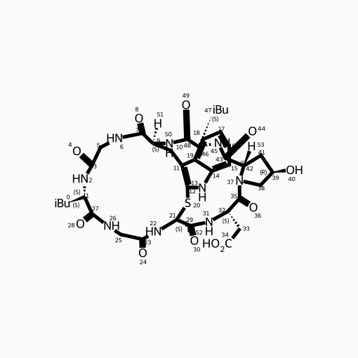 CC[C@H](C)[C@@H]1NC(=O)CNC(=O)[C@@H]2Cc3c([nH]c4ccccc34)S[C@H](NC(=O)CNC1=O)C(=O)N[C@@H](CC(=O)O)C(=O)N1C[C@H](O)C[C@H]1C(=O)N[C@@H]([C@@H](C)CC)C(=O)N2